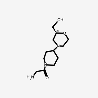 NCC(=O)N1CCC(N2CCO[C@H](CO)C2)CC1